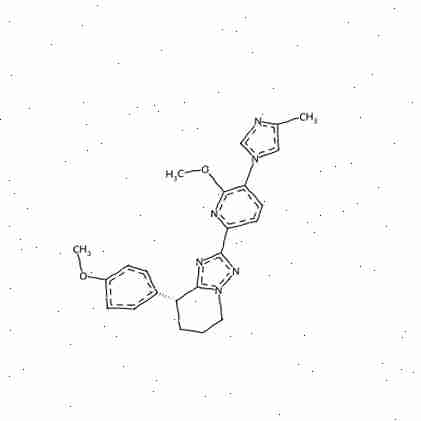 COc1ccc([C@H]2CCCn3nc(-c4ccc(-n5cnc(C)c5)c(OC)n4)nc32)cc1